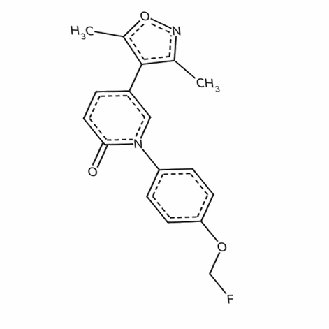 Cc1noc(C)c1-c1ccc(=O)n(-c2ccc(OCF)cc2)c1